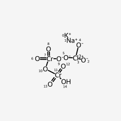 [K+].[Na+].[O-][Cl+2]([O-])[O-].[O]=[Cr](=[O])([O-])[O][Cr](=[O])(=[O])[OH]